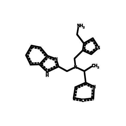 CC(c1ccccn1)N(Cc1nc2ccccc2[nH]1)Cc1cscc1CN